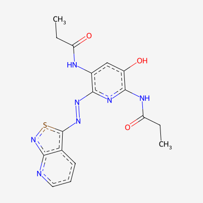 CCC(=O)Nc1cc(O)c(NC(=O)CC)nc1/N=N/c1snc2ncccc12